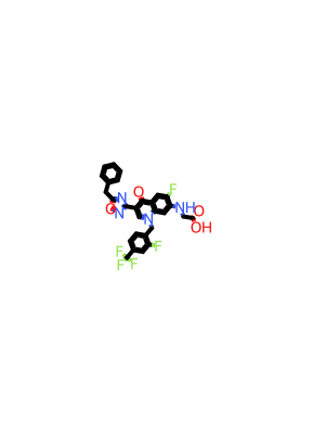 O=C(O)CNc1cc2c(cc1F)c(=O)c(-c1noc(Cc3ccccc3)n1)cn2Cc1ccc(C(F)(F)F)cc1F